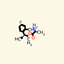 C#C[C@@H](c1ccc(F)cc1C)[C@@H](C)OC(=O)[C@H](C)N